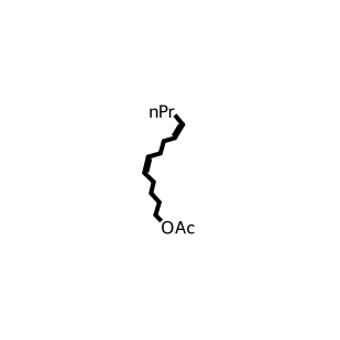 CCC/C=C\CC/C=C\CCCCOC(C)=O